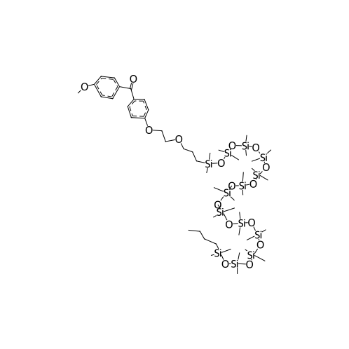 CCCC[Si](C)(C)O[Si](C)(C)O[Si](C)(C)O[Si](C)(C)O[Si](C)(C)O[Si](C)(C)O[Si](C)(C)O[Si](C)(C)O[Si](C)(C)O[Si](C)(C)O[Si](C)(C)O[Si](C)(C)O[Si](C)(C)CCCOCCOc1ccc(C(=O)c2ccc(OC)cc2)cc1